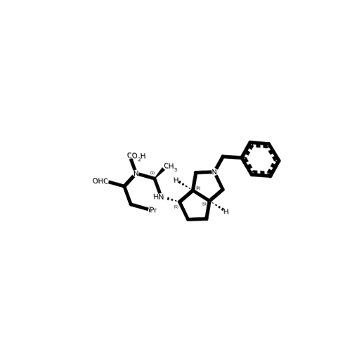 CC(C)CC(C=O)N(C(=O)O)[C@@H](C)N[C@H]1CC[C@@H]2CN(Cc3ccccc3)C[C@@H]21